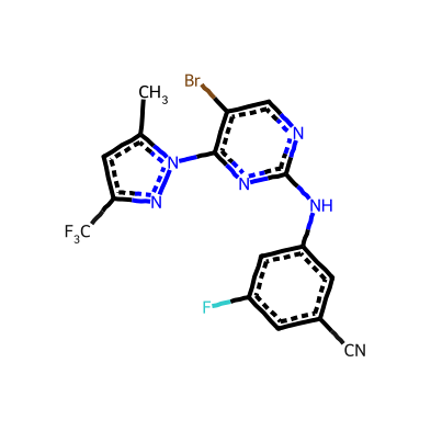 Cc1cc(C(F)(F)F)nn1-c1nc(Nc2cc(F)cc(C#N)c2)ncc1Br